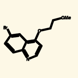 COCCOc1ccnc2ccc(Br)cc12